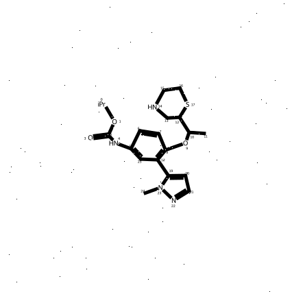 CC(C)OC(=O)Nc1ccc(OC(C)C2CNCCS2)c(-c2ccnn2C)c1